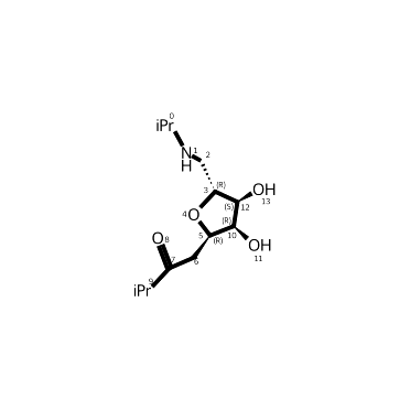 CC(C)NC[C@H]1O[C@H](CC(=O)C(C)C)[C@H](O)[C@@H]1O